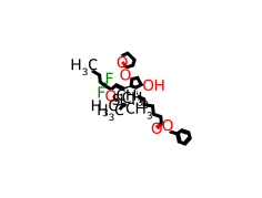 CCCCC(F)(F)C(/C=C/[C@@H]1[C@@H](CCCCCCC(=O)OCc2ccccc2)[C@@H](O)C[C@H]1OC1CCCCO1)O[Si](C)(C)C(C)(C)C